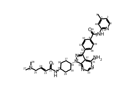 Cc1ccnc(NC(=O)c2ccc(-c3nn([C@H]4CC[C@H](NC(=O)/C=C/CN(C)C)CC4)c4ncnc(N)c34)cc2)c1